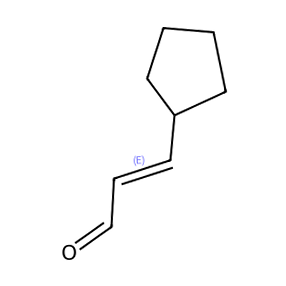 O=C/C=C/C1CCCC1